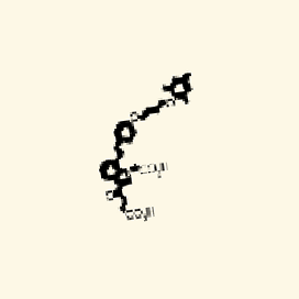 Cc1cc(C)c(OCCCCOc2ccc(C=Cc3cccc4c(C(=O)CCC(=O)O)cn(CC(=O)O)c34)cc2)c(C)c1